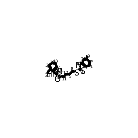 Cc1ccc2sc(SCCCCS(=O)(=O)Nc3ccccc3C)nc2c1